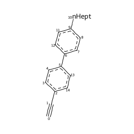 C#Cc1ccc(-c2ccc(CCCCCCC)cc2)cc1